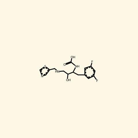 O=C(O)NC(Cc1cc(F)cc(F)c1)C(O)CNCc1cncs1